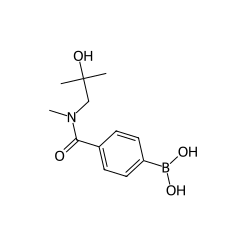 CN(CC(C)(C)O)C(=O)c1ccc(B(O)O)cc1